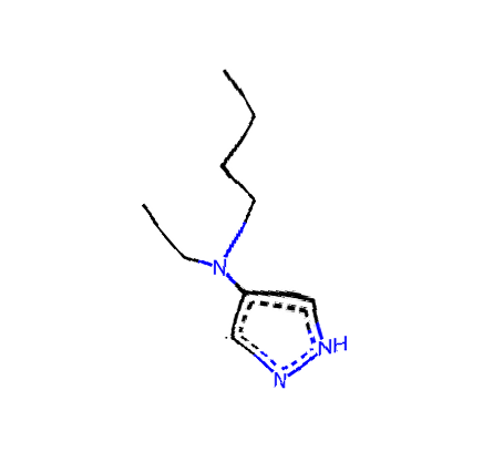 CCCCN(CC)c1[c]n[nH]c1